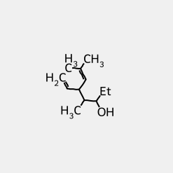 C=CC(C=C(C)C)C(C)C(O)CC